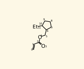 C=CC(=O)OCC1CCCC1CC